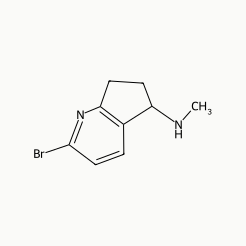 CNC1CCc2nc(Br)ccc21